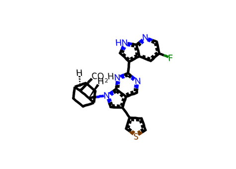 O=C(O)[C@@H]1C2CCC(CC2)[C@H]1n1cc(-c2ccsc2)c2cnc(-c3c[nH]c4ncc(F)cc34)nc21